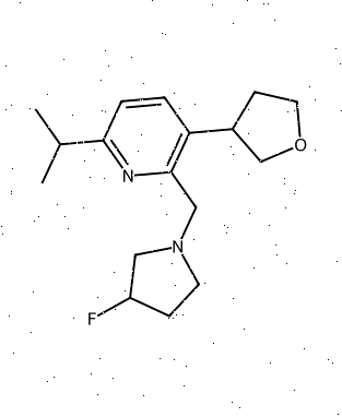 CC(C)c1ccc(C2CCOC2)c(CN2CCC(F)C2)n1